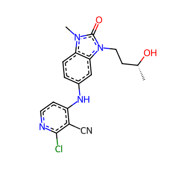 C[C@@H](O)CCn1c(=O)n(C)c2ccc(Nc3ccnc(Cl)c3C#N)cc21